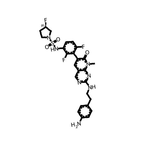 Cn1c(=O)c(-c2c(F)ccc(NS(=O)(=O)N3CC[C@@H](F)C3)c2F)cc2cnc(NCCc3ccc(N)cc3)nc21